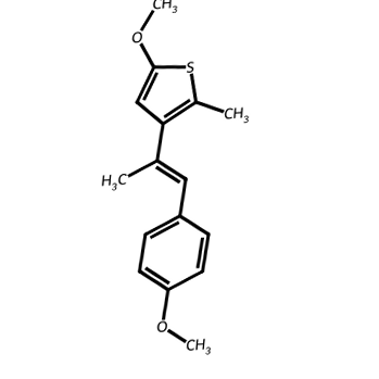 COc1ccc(C=C(C)c2cc(OC)sc2C)cc1